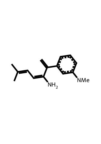 C=C(/C(N)=C\C=C(C)C)c1cccc(NC)c1